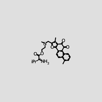 Cc1c(CN(C)CCOC(=O)[C@@H](N)C(C)C)oc2c1C(=O)C(=O)c1c-2ccc2c(C)cccc12